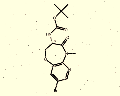 CN1C(=O)[C@@H](NC(=O)OC(C)(C)C)COc2cc(Br)cnc21